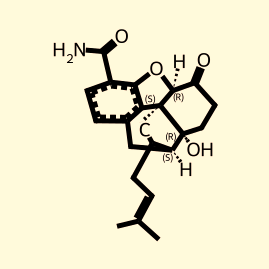 CC(C)=CCC1CC[C@]23c4c5ccc(C(N)=O)c4O[C@H]2C(=O)CC[C@@]3(O)[C@H]1C5